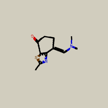 Cc1nc2c(s1)C(=O)CCC2=CN(C)C